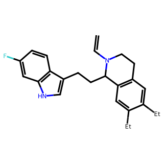 C=CN1CCc2cc(CC)c(CC)cc2C1CCc1c[nH]c2cc(F)ccc12